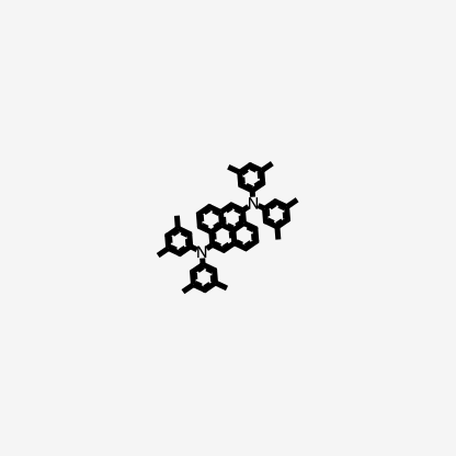 Cc1cc(C)cc(N(c2cc(C)cc(C)c2)c2cc3cccc4c(N(c5cc(C)cc(C)c5)c5cc(C)cc(C)c5)cc5cccc2c5c34)c1